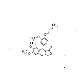 CCCCOc1ccc(C2=C3C(=O)OCC3Cc3cc(OC)c(OC)cc32)cc1OC